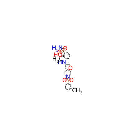 Cc1cccc(S(=O)(=O)N2CCC3(CC2)CC(NC2=CC=CC(S(N)(=O)=O)[C@@]2(C)O)CO3)c1